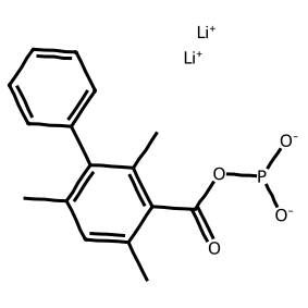 Cc1cc(C)c(-c2ccccc2)c(C)c1C(=O)OP([O-])[O-].[Li+].[Li+]